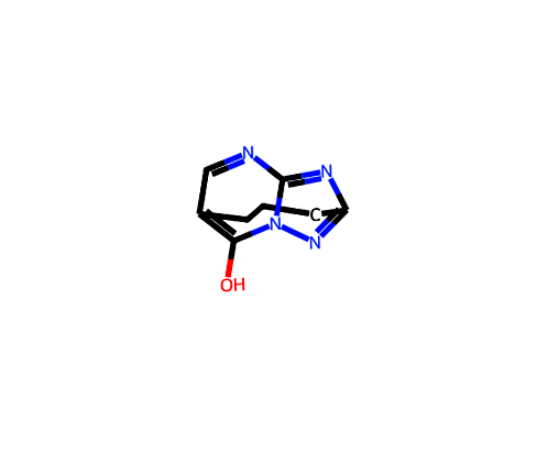 Oc1c2cnc3nc(nn13)CCC2